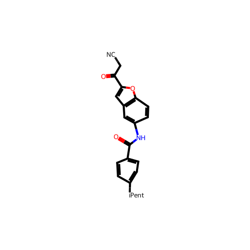 CCCC(C)c1ccc(C(=O)Nc2ccc3oc(C(=O)CC#N)cc3c2)cc1